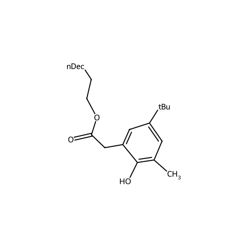 CCCCCCCCCCCCOC(=O)Cc1cc(C(C)(C)C)cc(C)c1O